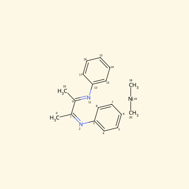 CC(=Nc1ccccc1)C(C)=Nc1ccccc1.[CH3][Ni][CH3]